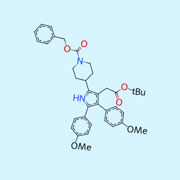 COc1ccc(-c2[nH]c(C3CCN(C(=O)OCc4ccccc4)CC3)c(CC(=O)OC(C)(C)C)c2-c2ccc(OC)cc2)cc1